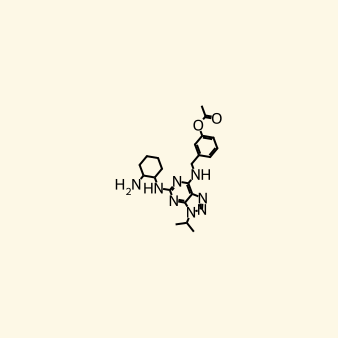 CC(=O)Oc1cccc(CNc2nc(NC3CCCCC3N)nc3c2nnn3C(C)C)c1